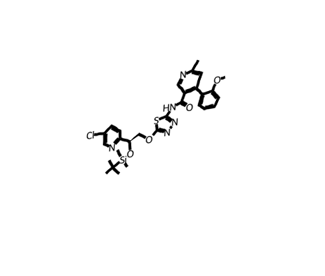 COc1ccccc1-c1cc(C)ncc1C(=O)Nc1nnc(OC[C@@H](O[Si](C)(C)C(C)(C)C)c2ccc(Cl)cn2)s1